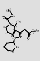 COC(=O)Cc1nn(C2CCCCO2)c2c1C(C#N)N(C(=O)OC(C)(C)C)CC2